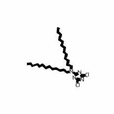 CCCCCCCCCCCCCN(CCCCCCCCCCCCC)c1nc(Cl)nc(Cl)n1